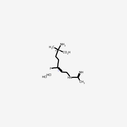 CC(=N)NC/C=C(/F)CC[C@](C)(N)C(=O)O.Cl.Cl